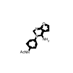 CC(=O)Nc1ccc(N2CN=c3occc3=C2N)cc1